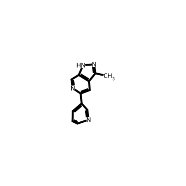 Cc1n[nH]c2cnc(-c3cccnc3)cc12